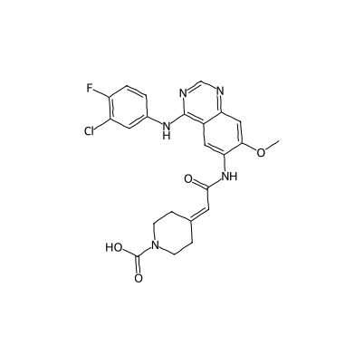 COc1cc2ncnc(Nc3ccc(F)c(Cl)c3)c2cc1NC(=O)C=C1CCN(C(=O)O)CC1